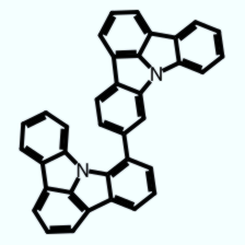 c1ccc2c(c1)c1cccc3c4ccc(-c5cccc6c7cccc8c9ccccc9n(c56)c87)cc4n2c13